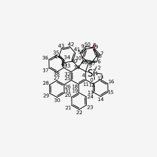 C[Si](C)(C)C1(c2ccccc2)C(c2ccccc2)=C(c2ccccc2)C(c2ccccc2)=C(c2ccccc2)C1(c1ccccc1)c1ccccc1